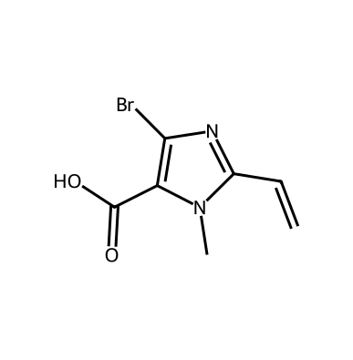 C=Cc1nc(Br)c(C(=O)O)n1C